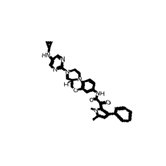 Cc1cc(-c2ccccc2)c(C(=O)C(=O)Nc2ccc3c(c2)OC[C@@H]2CN(c4ncc(NC5CC5)cn4)CCN32)n1C